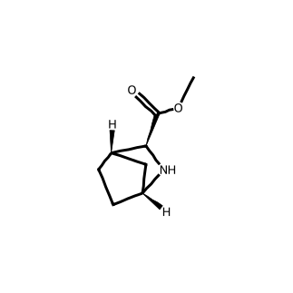 COC(=O)[C@H]1N[C@@H]2CC[C@H]1C2